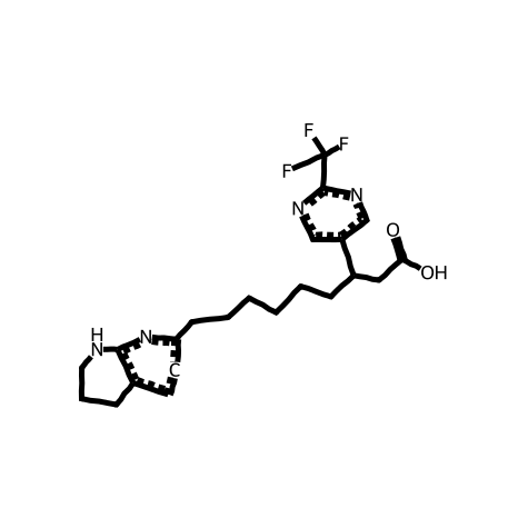 O=C(O)CC(CCCCCCc1ccc2c(n1)NCCC2)c1cnc(C(F)(F)F)nc1